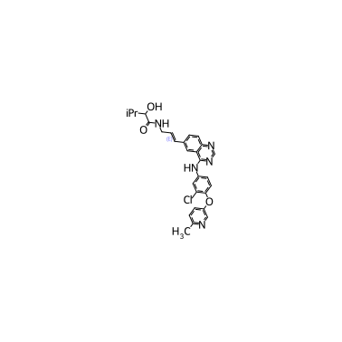 Cc1ccc(Oc2ccc(Nc3ncnc4ccc(/C=C/CNC(=O)C(O)C(C)C)cc34)cc2Cl)cn1